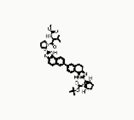 COC(=O)NC(C(=O)N1CCC[C@H]1c1nc2ccc3cc(-c4ccc5c(c4)CCc4nc([C@@H]6[C@H]7CC[C@H](C7)N6C(=O)OC(C)(C)C)[nH]c4-5)ccc3c2[nH]1)C(C)C